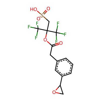 O=C(Cc1cccc(C2CO2)c1)OC(CS(=O)(=O)O)(C(F)(F)F)C(F)(F)F